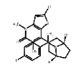 CC(c1ccc(F)cc1)N1[C@@H]2CC[C@H]1CN(c1c(C#N)c(=O)n(C)c3cc(Cl)sc13)C2